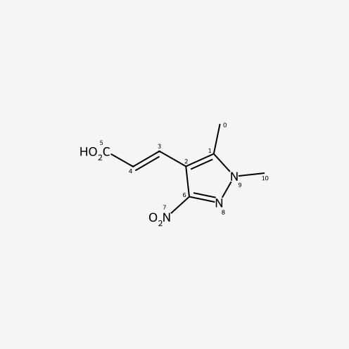 Cc1c(C=CC(=O)O)c([N+](=O)[O-])nn1C